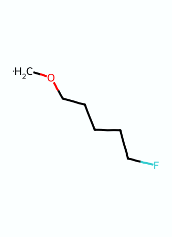 [CH2]OCCCCCF